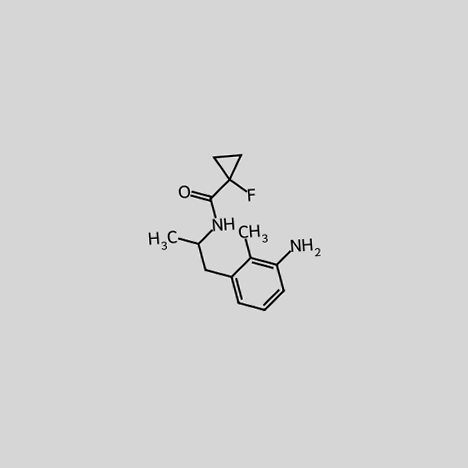 Cc1c(N)cccc1CC(C)NC(=O)C1(F)CC1